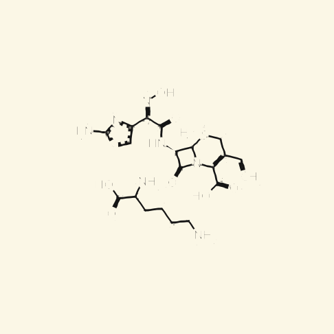 C=CC1=C(C(=O)O)N2C(=O)[C@@H](NC(=O)/C(=N\O)c3csc(N)n3)[C@H]2SC1.NCCCCC(N)C(=O)O